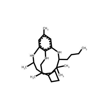 CCCCC1Nc2cc(C)cc(c2BCC(C)C2CCC2)NC(C)CCCC1(C)C